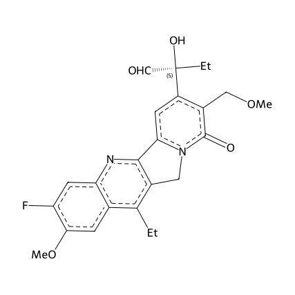 CCc1c2c(nc3cc(F)c(OC)cc13)-c1cc([C@](O)(C=O)CC)c(COC)c(=O)n1C2